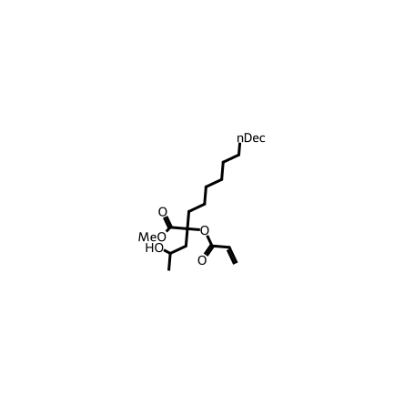 C=CC(=O)OC(CCCCCCCCCCCCCCCC)(CC(C)O)C(=O)OC